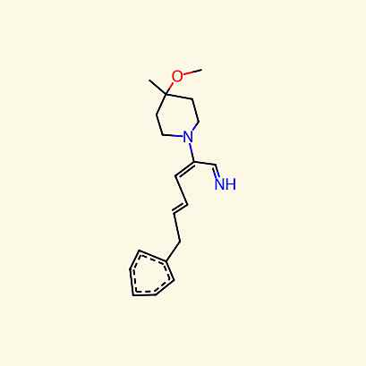 COC1(C)CCN(/C(C=N)=C/C=C/Cc2ccccc2)CC1